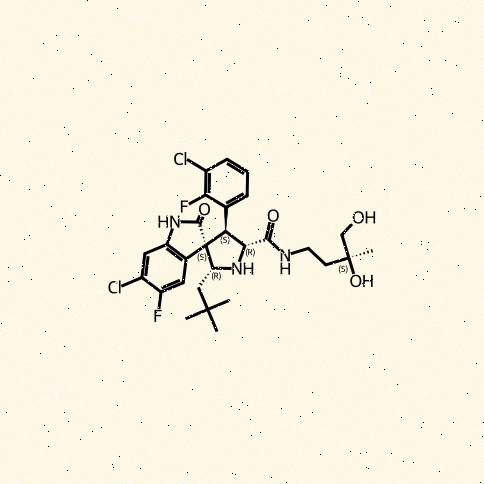 CC(C)(C)C[C@H]1N[C@@H](C(=O)NCC[C@](C)(O)CO)[C@H](c2cccc(Cl)c2F)[C@@]12C(=O)Nc1cc(Cl)c(F)cc12